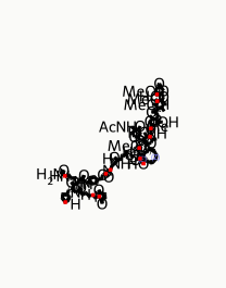 COC(=O)NC1=C2/C(=C\CSSC(C)(C)CCC(=O)NCCNC(=O)OCc3ccc(NC(=O)[C@H](CCCNC(N)=O)NC(=O)[C@H](Cc4ccccc4)NC(=O)CCCCCN4C(=O)C=CC4=O)cc3)[C@](O)(C#C/C=C\C#C[C@@H]2OC2OC(C)C(NOC3CC(O)C(SC(=O)c4c(C)c(I)c(OC5OC6OC6C(OC)C5O)c(OC)c4OC)C(C)O3)C(O)C2OC2CC(OC)C(NC(C)=O)CO2)CC1=O